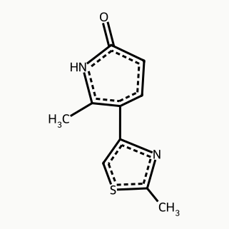 Cc1nc(-c2ccc(=O)[nH]c2C)cs1